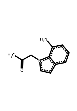 CC(=O)Cn1ccc2cccc(N)c21